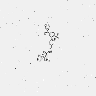 CCOC(=O)c1ccc(C(F)(F)F)c(N2CCC(CCNC(=O)OC(C)(C)C)CC2)c1